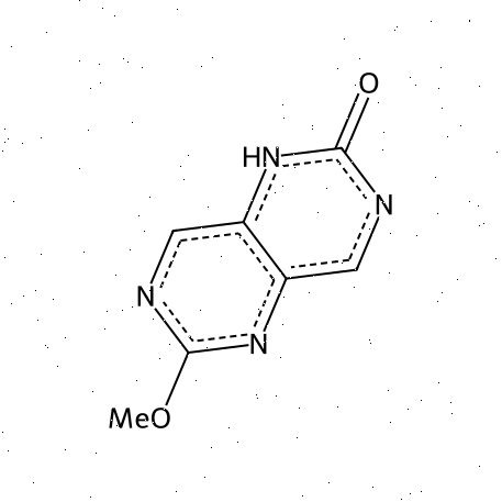 COc1ncc2[nH]c(=O)ncc2n1